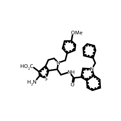 COc1ccc(CN2CCc3c(sc(N)c3C(=O)O)C2CNC(=O)c2cn(Cc3ccccc3)c3ccccc23)cc1